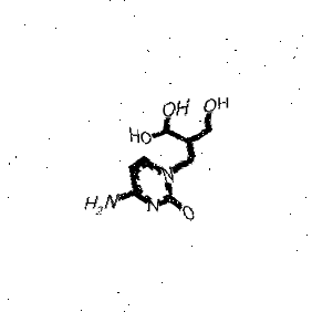 Nc1ccn(CC(CO)C(O)O)c(=O)n1